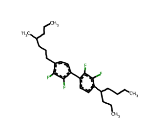 CCCCC(CCC)c1ccc(-c2ccc(CCCC(C)CCC)c(F)c2F)c(F)c1F